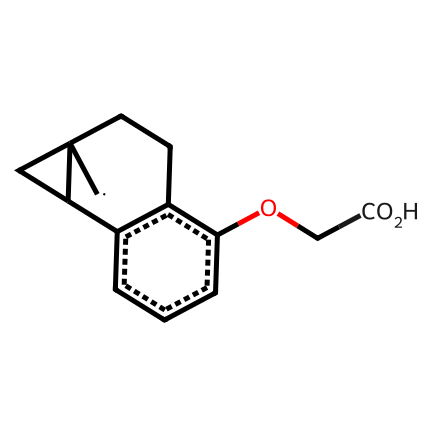 [CH2]C12CCc3c(OCC(=O)O)cccc3C1C2